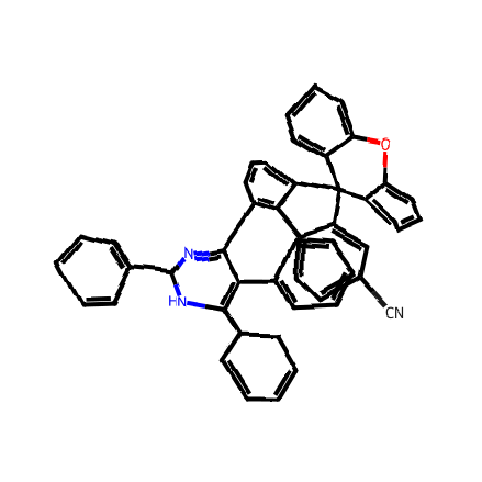 N#Cc1ccc2c(c1)C1(c3ccccc3Oc3ccccc31)c1cccc(C3=NC(c4ccccc4)NC(C4C=CC=CC4)=C3c3ccccc3)c1-2